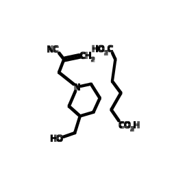 C=C(C#N)CN1CCCC(CO)C1.O=C(O)CCCCC(=O)O